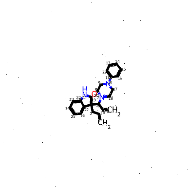 C=CCC1(C(C=C)N2CCN(c3ccccc3)CC2)C(=O)Nc2ccccc21